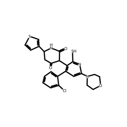 O=C1CC(c2ccsc2)NC(=O)C1c1c(-c2ccccc2Cl)cc(N2CCOCC2)nc1S